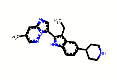 CCc1c(-c2cnc3cc(C)cnn23)[nH]c2ccc(C3CCNCC3)cc12